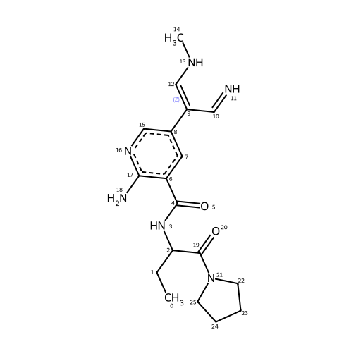 CCC(NC(=O)c1cc(/C(C=N)=C/NC)cnc1N)C(=O)N1CCCC1